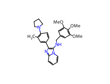 COc1cc(CNc2c(-c3ccc(N4CCCC4)c(C)c3)nc3ccccn23)cc(OC)c1OC